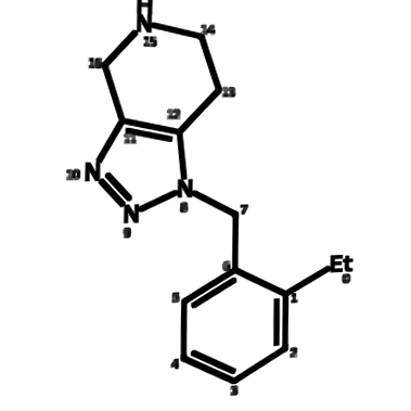 CCc1ccccc1Cn1nnc2c1CCNC2